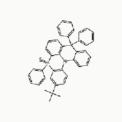 CC(C)(C)c1ccc2c(c1)P(=S)(c1ccccc1)c1cccc3c1N2c1ccccc1C3(c1ccccc1)c1ccccc1